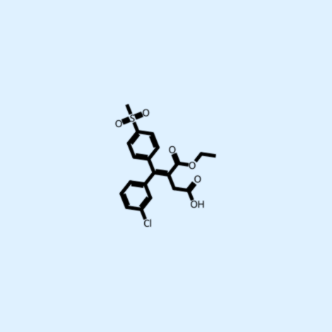 CCOC(=O)C(CC(=O)O)=C(c1ccc(S(C)(=O)=O)cc1)c1cccc(Cl)c1